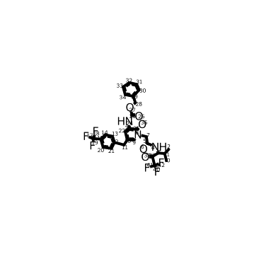 CC(C)C(NC(=O)Cn1cc(Cc2ccc(C(F)(F)F)cc2)cc(NC(=O)OCc2ccccc2)c1=O)C(=O)C(F)(F)F